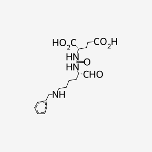 O=C[C@H](CCCCNCc1ccccc1)NC(=O)N[C@@H](CCC(=O)O)C(=O)O